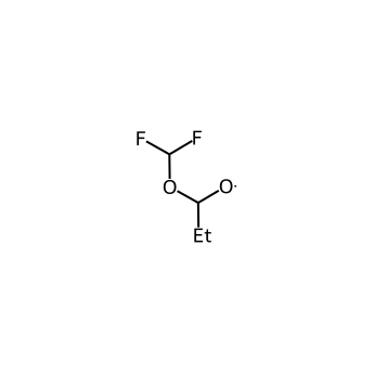 CCC([O])OC(F)F